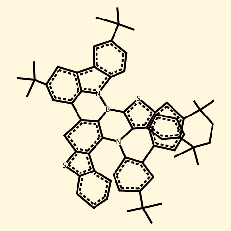 CC(C)(C)c1ccc(N2c3c(sc4cc5c(cc34)C(C)(C)CCC5(C)C)B3c4c(cc5sc6ccccc6c5c42)-c2cc(C(C)(C)C)cc4c5cc(C(C)(C)C)ccc5n3c24)c(-c2ccccc2)c1